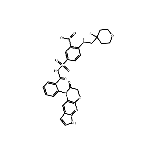 O=C(NS(=O)(=O)c1ccc(NCC2(F)CCOCC2)c([N+](=O)[O-])c1)c1ccccc1N1C(=O)COc2nc3[nH]ccc3cc21